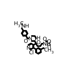 CCc1cccc(-c2c([C@](O)(CCCNC(=O)O)[C@@H]3CCCN(C(=O)c4ccc(CNC)cc4)C3)ccnc2Cl)c1